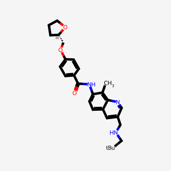 Cc1c(NC(=O)c2ccc(OC[C@@H]3CCCO3)cc2)ccc2cc(CNCC(C)(C)C)cnc12